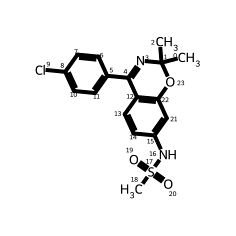 CC1(C)N=C(c2ccc(Cl)cc2)c2ccc(NS(C)(=O)=O)cc2O1